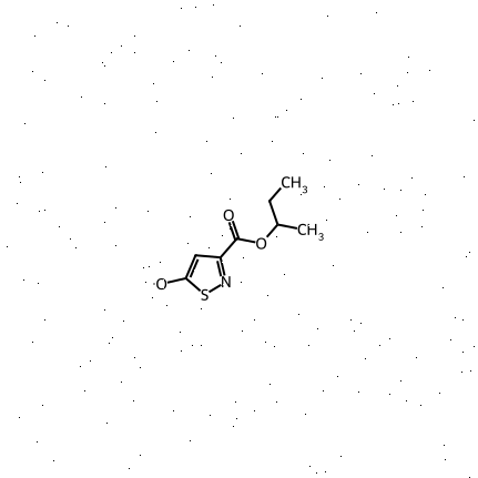 CCC(C)OC(=O)c1cc([O])sn1